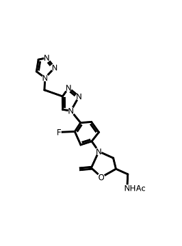 C=C1OC(CNC(C)=O)CN1c1ccc(-n2cc(Cn3ccnn3)nn2)c(F)c1